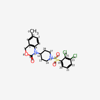 Cc1ccc2c(c1)COC(=O)N2C1CCN(S(=O)(=O)c2cccc(Cl)c2Cl)CC1